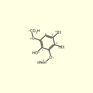 CCCCCCCCCOc1c(O)c(OC(=O)O)cc(CC)c1CC